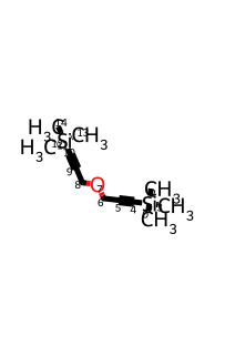 C[Si](C)(C)C#CCOCC#C[Si](C)(C)C